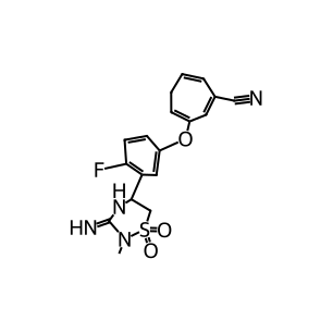 CN1C(=N)NC(c2cc(OC3=CCC=CC(C#N)=C3)ccc2F)CS1(=O)=O